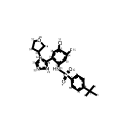 CC(C)(C)c1ccc(S(=O)(=O)Nc2cc(F)c(Cl)cc2-c2nncn2C2CCOC2)cc1